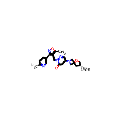 CO[C@H]1COC2(C1)CN(c1cnn(Cc3c(-c4ccc(C(F)(F)F)nc4)noc3C)c(=O)c1)C2